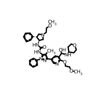 COCCOc1ncc(-c2nn(-c3ccccc3)c(NC(=O)N[C@@H]3CN(CCOC)C[C@H]3c3ccccc3)c2C)cc1C(O)NC1CCOCC1